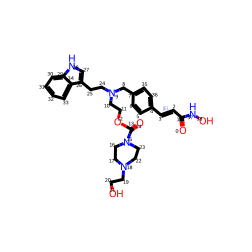 O=C(/C=C/c1ccc(CN(CCOC(=O)N2CCN(CCO)CC2)CCc2c[nH]c3ccccc23)cc1)NO